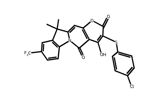 CC1(C)c2cc(C(F)(F)F)ccc2-n2c1cc1oc(=O)c(Sc3ccc(Cl)cc3)c(O)c1c2=O